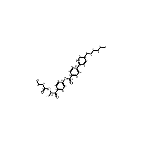 CCCCCCc1ccc(-c2ccc(C(=O)Oc3ccc(C(=O)C(C)OC(=O)CCC)cc3)cc2)nc1